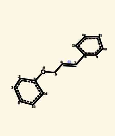 [c]1ccc(OC/C=C/c2ccccc2)cc1